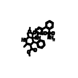 COC(=O)C1=C(C)NC(C)C(Nc2nc(-c3ccccc3S(N)(=O)=O)cs2)(C(=O)OC)C1c1ccccc1